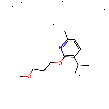 COCCCOc1nc(C)ccc1C(C)C